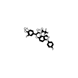 COc1ccc([C@H](Oc2ccc3c(cnn3-c3ccc(F)cc3)c2)[C@H](C)NC(=O)C(F)(F)F)cc1F